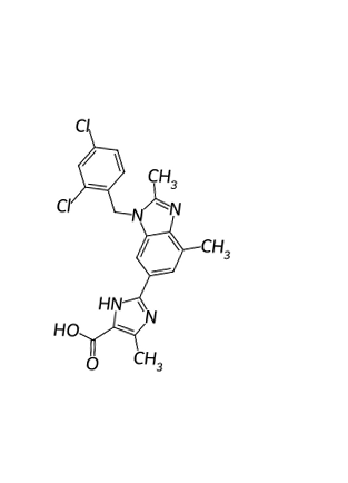 Cc1nc(-c2cc(C)c3nc(C)n(Cc4ccc(Cl)cc4Cl)c3c2)[nH]c1C(=O)O